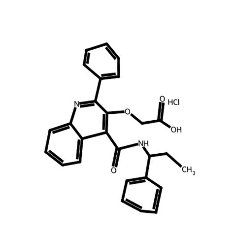 CCC(NC(=O)c1c(OCC(=O)O)c(-c2ccccc2)nc2ccccc12)c1ccccc1.Cl